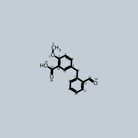 COc1ccc(Cc2ccccc2C=O)cc1C(=O)O